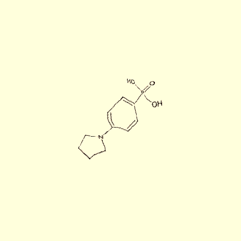 O=P(O)(O)c1ccc(N2CCCC2)cc1